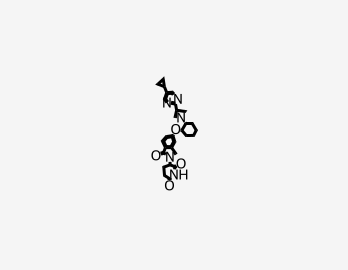 O=C1CCC(N2Cc3cc(OC4CCCCC4N4CC(c5ncc(C6CC6)cn5)C4)ccc3C2=O)C(=O)N1